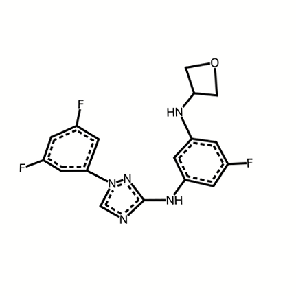 Fc1cc(Nc2ncn(-c3cc(F)cc(F)c3)n2)cc(NC2COC2)c1